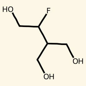 OCC(F)C(CO)CO